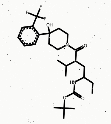 CCC(CC(C(=O)N1CCC(O)(c2ccccc2C(F)(F)F)CC1)C(C)C)NC(=O)OC(C)(C)C